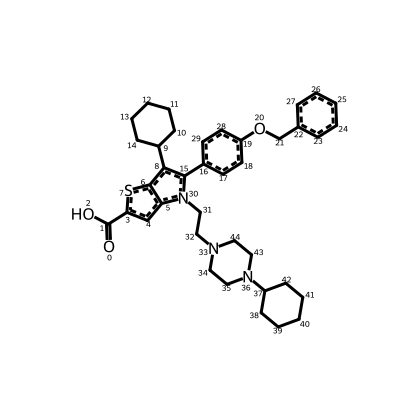 O=C(O)c1cc2c(s1)c(C1CCCCC1)c(-c1ccc(OCc3ccccc3)cc1)n2CCN1CCN(C2CCCCC2)CC1